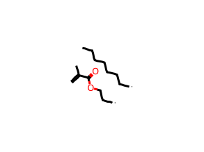 [CH2]CCCCCCC.[CH2]CCOC(=O)C(=C)C